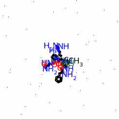 CC(C)C[C@H](NC(=O)[C@H](N)Cc1ccccc1)C(=O)N[C@@H](CCCNC(=N)N)C(=O)N1CCC[C@H]1C(=O)NCC(N)=O.Cl